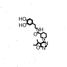 Cc1oc2ncnc(N3CCCC(C(=O)NCCc4ccc(O)c(O)c4)C3)c2c1C